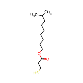 CC(C)CCCCCCCOC(=O)CCS